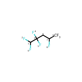 F[C](F)C(F)(F)CC(F)C(F)(F)F